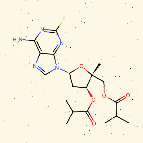 CC(C)C(=O)OC[C@@]1(C)O[C@@H](n2cnc3c(N)nc(F)nc32)C[C@@H]1OC(=O)C(C)C